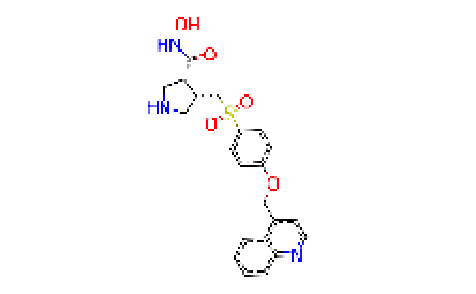 Cc1cc(COc2ccc(S(=O)(=O)C[C@@H]3CNC[C@@H]3C(=O)NO)cc2)c2ccccc2n1